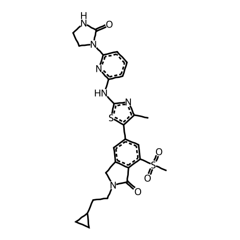 Cc1nc(Nc2cccc(N3CCNC3=O)n2)sc1-c1cc2c(c(S(C)(=O)=O)c1)C(=O)N(CCC1CC1)C2